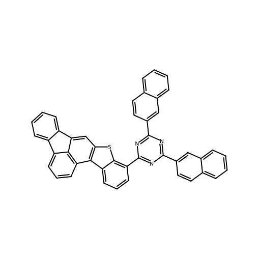 c1ccc2c(c1)-c1cccc3c1c-2cc1sc2c(-c4nc(-c5ccc6ccccc6c5)nc(-c5ccc6ccccc6c5)n4)cccc2c13